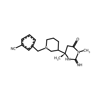 CN1C(=N)N[C@](C)(C2CCCN(Cc3cccc(C#N)c3)C2)CC1=O